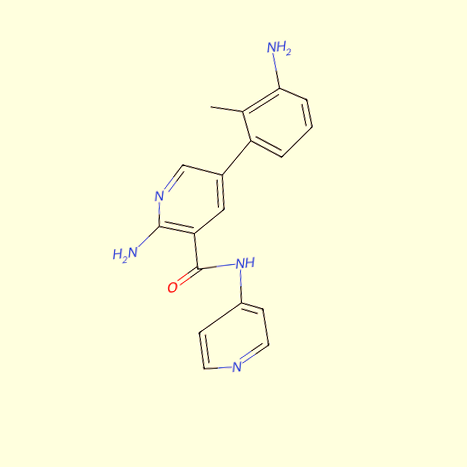 Cc1c(N)cccc1-c1cnc(N)c(C(=O)Nc2ccncc2)c1